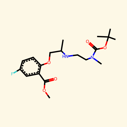 COC(=O)c1cc(F)ccc1OCC(C)NCCN(C)C(=O)OC(C)(C)C